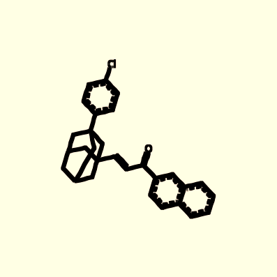 O=C(C=CC12CC3CC(C1)CC(c1ccc(Cl)cc1)(C3)C2)c1ccc2ccccc2c1